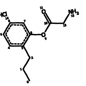 CCCc1ccccc1OC(=O)CN.Cl